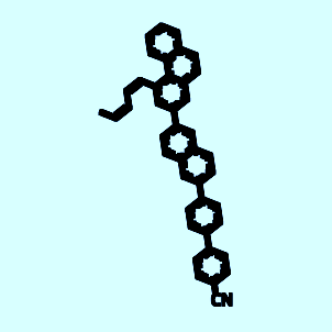 C/C=C\C=C/c1cc(-c2ccc3cc(-c4ccc(-c5ccc(C#N)cc5)cc4)ccc3c2)cc2ccc3ccccc3c12